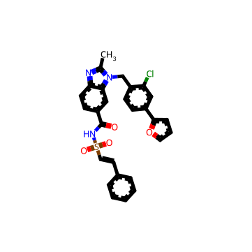 Cc1nc2ccc(C(=O)NS(=O)(=O)C=Cc3ccccc3)cc2n1Cc1ccc(-c2ccco2)cc1Cl